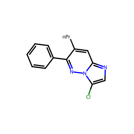 CCCc1cc2ncc(Cl)n2nc1-c1ccccc1